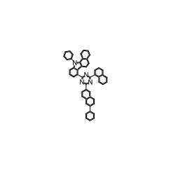 c1ccc(-c2ccc3cc(-c4nc(-c5cccc6ccccc56)nc(-c5cccc6c5c5ccc7ccccc7c5n6-c5ccccc5)n4)ccc3c2)cc1